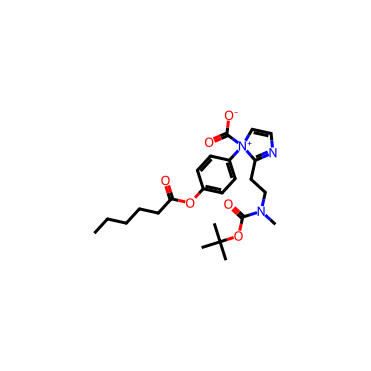 CCCCCC(=O)Oc1ccc([N+]2(C(=O)[O-])C=CN=C2CCN(C)C(=O)OC(C)(C)C)cc1